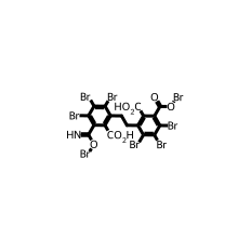 N=C(OBr)c1c(Br)c(Br)c(Br)c(CCc2c(Br)c(Br)c(Br)c(C(=O)OBr)c2C(=O)O)c1C(=O)O